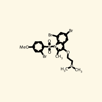 COc1ccc(S(=O)(=O)n2c(C)c(OCCN(C)C)c3cc(Br)cc(Br)c32)c(Br)c1